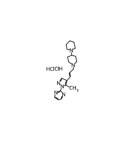 Cc1c(C=CCN2CCC(N3CCCCC3)CC2)cnn1-c1ncccn1.Cl.Cl